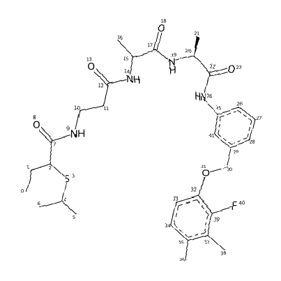 CCC(SC(C)C)C(=O)NCCC(=O)NC(C)C(=O)N[C@@H](C)C(=O)Nc1cccc(COc2ccc(C)c(C)c2F)c1